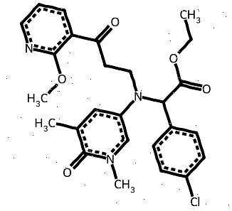 CCOC(=O)C(c1ccc(Cl)cc1)N(CCC(=O)c1cccnc1OC)c1cc(C)c(=O)n(C)c1